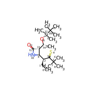 CC[C@H](C(=S)C(C)(C)C)[C@H]1NC(=O)[C@@H]1[C@@H](C)O[Si](C)(C)C(C)(C)C